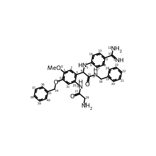 COc1cc(C(Nc2ccc(C(=N)N)cc2)C(=O)NCc2ccccc2)c(NC(=O)CN)cc1OCc1ccccc1